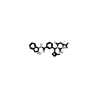 CC1C2CC1(C(c1cccc(C(=O)N[C@@H]3c4ccccc4C[C@H]3O)c1)N1C(=N)N[C@](C)(C(C)C)CC1=O)C2